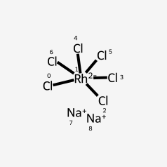 [Cl][Rh-2]([Cl])([Cl])([Cl])([Cl])[Cl].[Na+].[Na+]